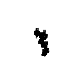 CN(CCCC(=O)Nc1cncc(-c2cc(-c3cc(Cl)ccc3F)nc3c2OCCN3)c1)C(=O)OC(C)(C)C